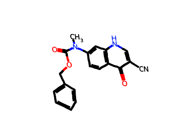 CN(C(=O)OCc1ccccc1)c1ccc2c(=O)c(C#N)c[nH]c2c1